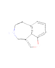 c1cc2c3c(coc3c1)CNCC2